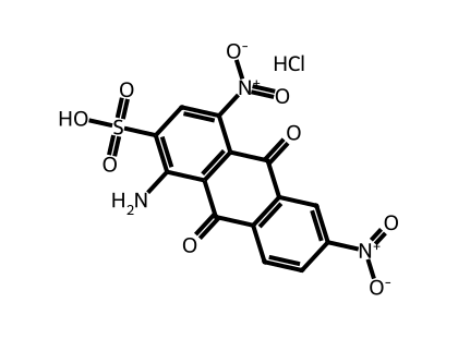 Cl.Nc1c(S(=O)(=O)O)cc([N+](=O)[O-])c2c1C(=O)c1ccc([N+](=O)[O-])cc1C2=O